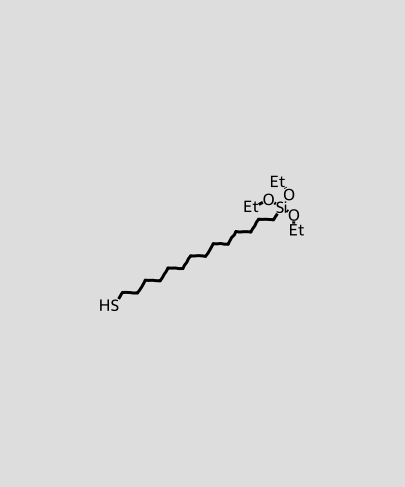 CCO[Si](CCCCCCCCCCCCCCS)(OCC)OCC